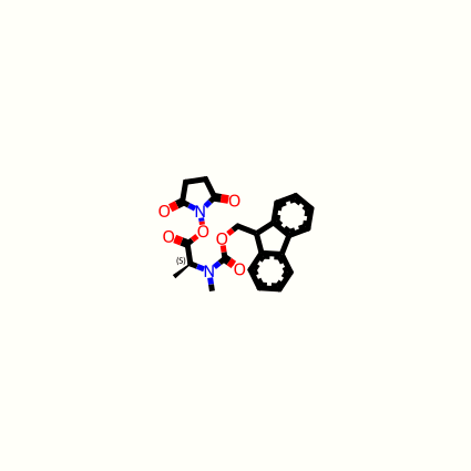 C[C@@H](C(=O)ON1C(=O)CCC1=O)N(C)C(=O)OCC1c2ccccc2-c2ccccc21